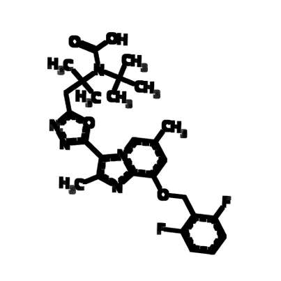 Cc1cc(OCc2c(F)cccc2F)c2nc(C)c(-c3nnc(CC(C)(C)N(C(=O)O)C(C)(C)C)o3)n2c1